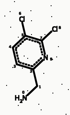 NCc1ccc(Cl)c(Cl)n1